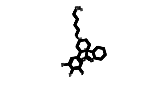 CCCCCC[C@@H]1CC[C@@](C(=O)O)(C2CCCCC2)C(c2cc(F)c(F)c(F)c2)C1